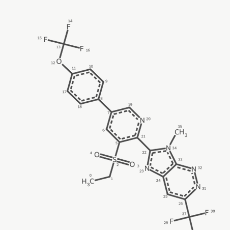 CCS(=O)(=O)c1cc(-c2ccc(OC(F)(F)F)cc2)cnc1-c1nc2cc(C(F)(F)F)nnc2n1C